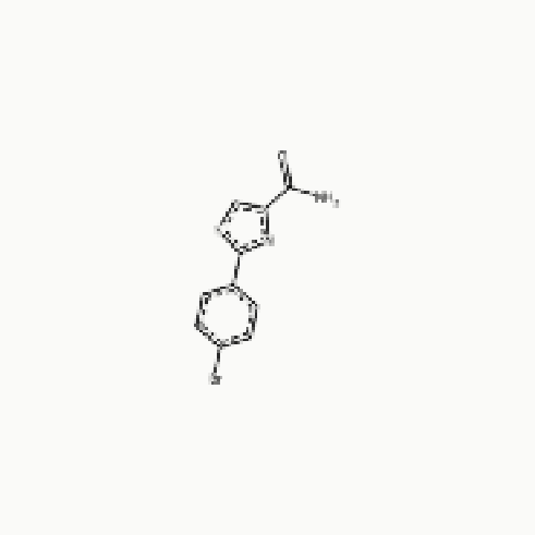 NC(=O)c1csc(-c2ccc(Br)cc2)n1